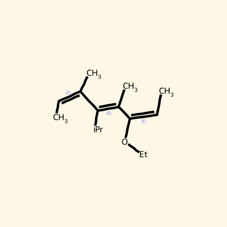 C\C=C(C)/C(=C(C)/C(=C\C)OCC)C(C)C